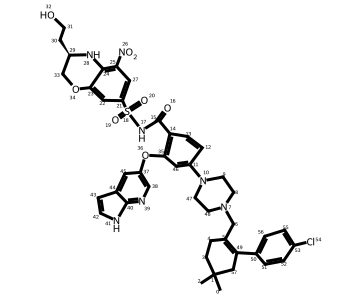 CC1(C)CCC(CN2CCN(c3ccc(C(=O)NS(=O)(=O)c4cc5c(c([N+](=O)[O-])c4)N[C@H](CCO)CO5)c(Oc4cnc5[nH]ccc5c4)c3)CC2)=C(c2ccc(Cl)cc2)C1